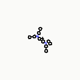 CC1(C)c2cc(N(c3ccc(-c4ccccc4)cc3)c3ccc(-c4ccccc4)cc3)ccc2-c2ccc(N(c3ccc(-c4ccccc4)cc3)c3cccc4ccccc34)cc21